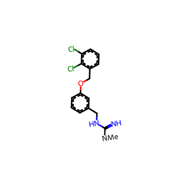 CNC(=N)NCc1cccc(OCc2cccc(Cl)c2Cl)c1